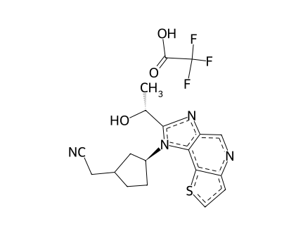 C[C@@H](O)c1nc2cnc3ccsc3c2n1[C@H]1CCC(CC#N)C1.O=C(O)C(F)(F)F